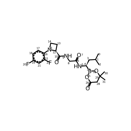 CC(C)C[C@H](NC(=O)CNC(=O)[C@@H]1CCN1c1ccc(F)cc1F)B1OC(=O)CC(C)(C)O1